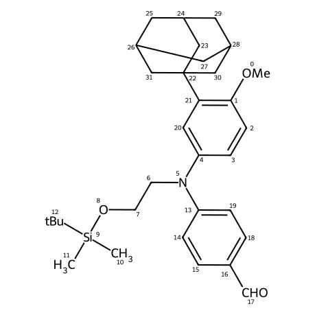 COc1ccc(N(CCO[Si](C)(C)C(C)(C)C)c2ccc(C=O)cc2)cc1C12CC3CC(CC(C3)C1)C2